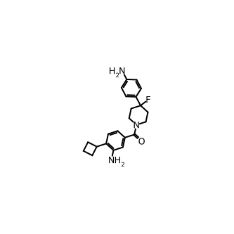 Nc1ccc(C2(F)CCN(C(=O)c3ccc(C4CCC4)c(N)c3)CC2)cc1